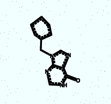 O=c1[nH]cnc2c1ncn2Cc1ccccc1